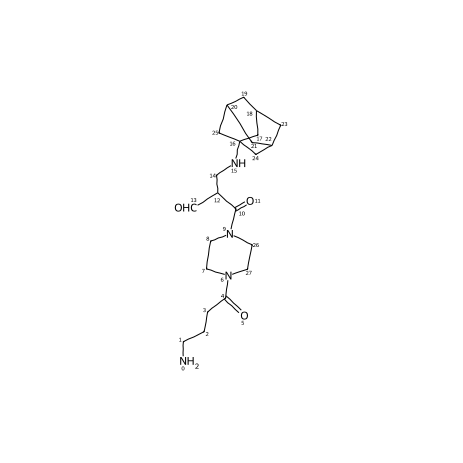 NCCCC(=O)N1CCN(C(=O)C(C=O)CNC23CC4CC(CC(C4)C2)C3)CC1